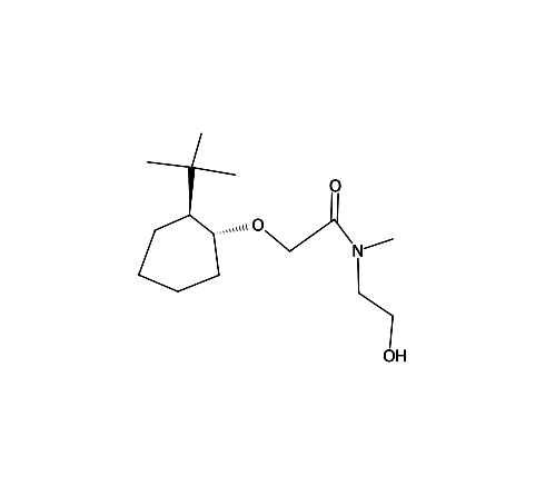 CN(CCO)C(=O)CO[C@@H]1CCCC[C@H]1C(C)(C)C